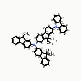 CC1c2ccccc2-c2ccc(N(c3ccc4c(c3)C(C)(C)c3ccccc3-4)c3ccc4c(c3)C(C)(C)c3cc(-n5c6ccccc6c6ccccc65)ccc3-4)cc21